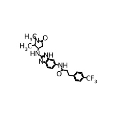 CC1C(Nc2nc3ccc(NC(=O)CCc4ccc(C(F)(F)F)cc4)cc3[nH]2)CC(=O)N1C